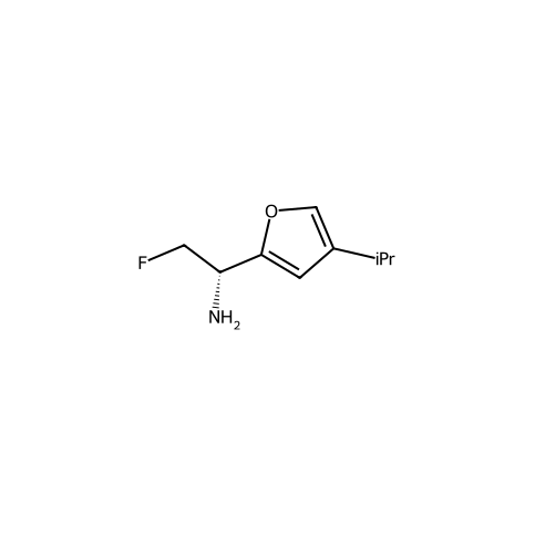 CC(C)c1coc([C@H](N)CF)c1